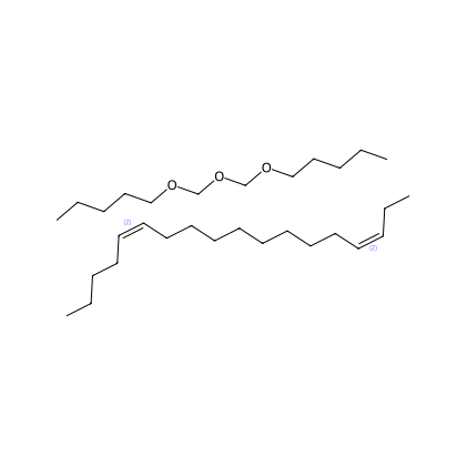 CC/C=C\CCCCCCCC/C=C\CCCC.CCCCCOCOCOCCCCC